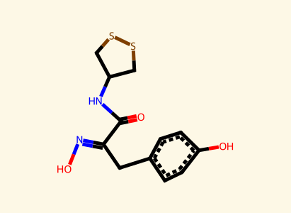 O=C(NC1CSSC1)/C(Cc1ccc(O)cc1)=N/O